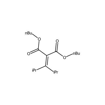 CCCCOC(=O)C(C(=O)OCCCC)=C(C(C)C)C(C)C